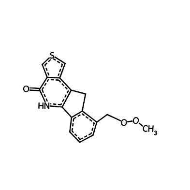 COOCc1cccc2c1Cc1c-2[nH]c(=O)c2cscc12